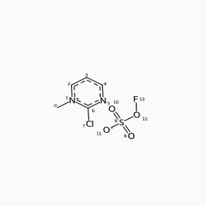 C[n+]1cccnc1Cl.O=S(=O)([O-])OF